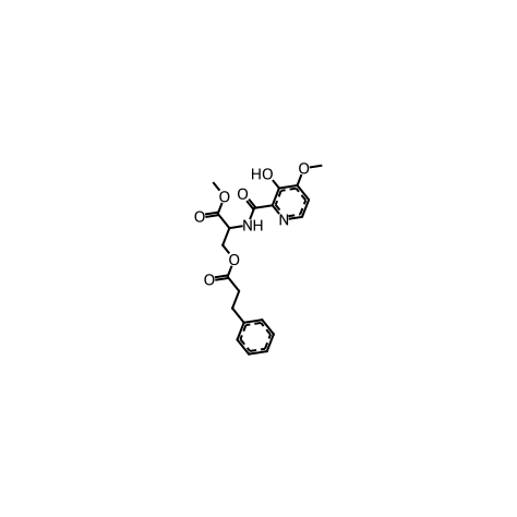 COC(=O)C(COC(=O)CCc1ccccc1)NC(=O)c1nccc(OC)c1O